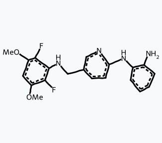 COc1cc(OC)c(F)c(NCc2ccc(Nc3ccccc3N)nc2)c1F